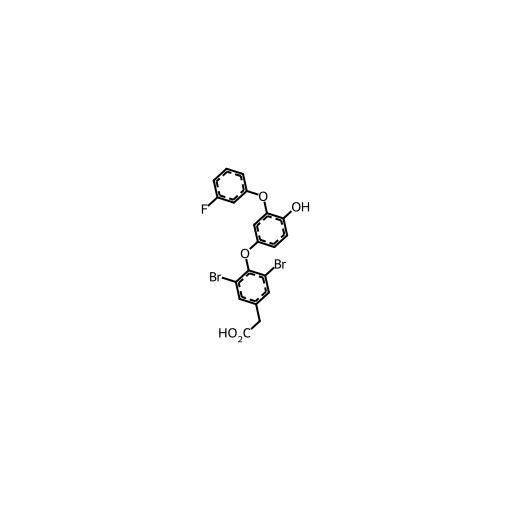 O=C(O)Cc1cc(Br)c(Oc2ccc(O)c(Oc3cccc(F)c3)c2)c(Br)c1